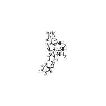 N=C(N)c1c(-c2ccc(Oc3ccccc3)cc2)ncc(-c2ccccc2)c1N